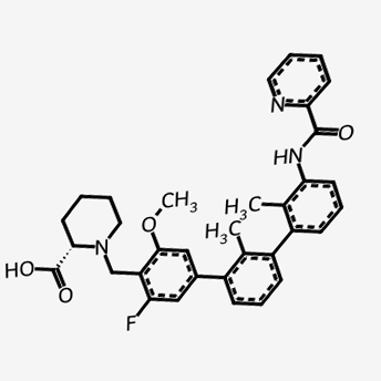 COc1cc(-c2cccc(-c3cccc(NC(=O)c4ccccn4)c3C)c2C)cc(F)c1CN1CCCC[C@H]1C(=O)O